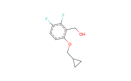 OCc1c(OCC2CC2)ccc(F)c1F